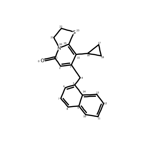 O=c1cc(Cc2cccc3ccccc23)c(C2CC2)c2n1CCS2